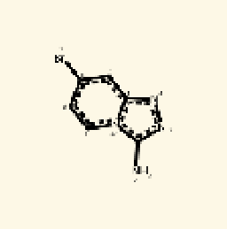 Nc1nnc2cc(Br)ccn12